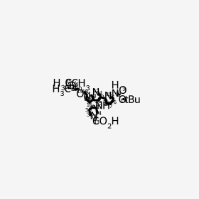 CC(C)(C)OC(=O)Nc1cccc(-c2cnc3c(ccn3COCC[Si](C)(C)C)c2NC2CCCN(C(=O)O)C2)n1